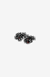 c1ccc(N(c2ccc(-c3cccc4c3-c3ccccc3C43c4ccccc4Oc4c3ccc3ccccc43)c3ccccc23)c2cccc3sc4ccccc4c23)cc1